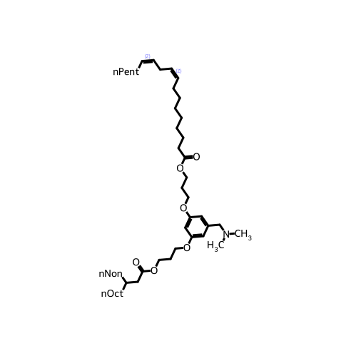 CCCCC/C=C\C/C=C\CCCCCCCC(=O)OCCCOc1cc(CN(C)C)cc(OCCCOC(=O)CC(CCCCCCCC)CCCCCCCCC)c1